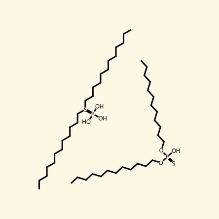 CCCCCCCCCCCCOP(O)(=S)OCCCCCCCCCCCC.CCCCCCCCCCCCS(CCCCCCCCCCCC)=P(O)(O)O